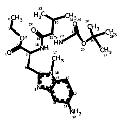 CCOC(=O)[C@H](Cc1nc2cc(N)ccc2n1C)NC(=O)[C@@H](NC(=O)OC(C)(C)C)C(C)C